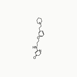 O=C1C=C(NCCCOc2cccc(CCN3CCCCC3)c2)N=CC1